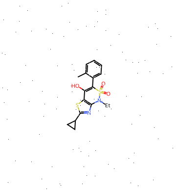 CCN1c2nc(C3CC3)sc2C(O)=C(c2ccccc2C)S1(=O)=O